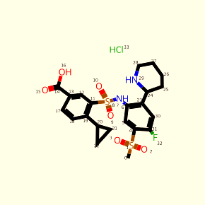 CS(=O)(=O)c1cc(NS(=O)(=O)c2cc(C(=O)O)ccc2C2CC2)c(C2CCCCN2)cc1F.Cl